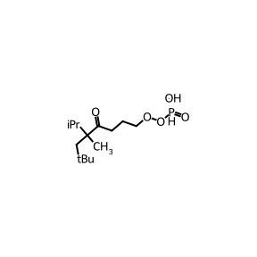 CC(C)C(C)(CC(C)(C)C)C(=O)CCCOO[PH](=O)O